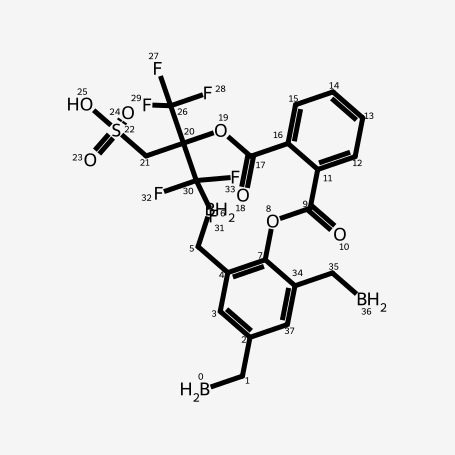 BCc1cc(CB)c(OC(=O)c2ccccc2C(=O)OC(CS(=O)(=O)O)(C(F)(F)F)C(F)(F)F)c(CB)c1